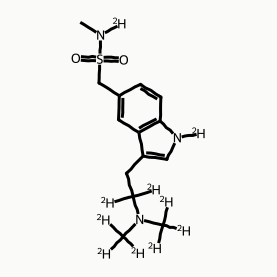 [2H]N(C)S(=O)(=O)Cc1ccc2c(c1)c(CC([2H])([2H])N(C([2H])([2H])[2H])C([2H])([2H])[2H])cn2[2H]